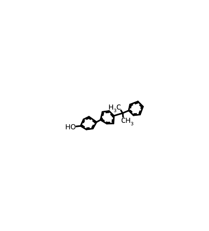 CC(C)(c1ccccc1)c1ccc(-c2ccc(O)cc2)cc1